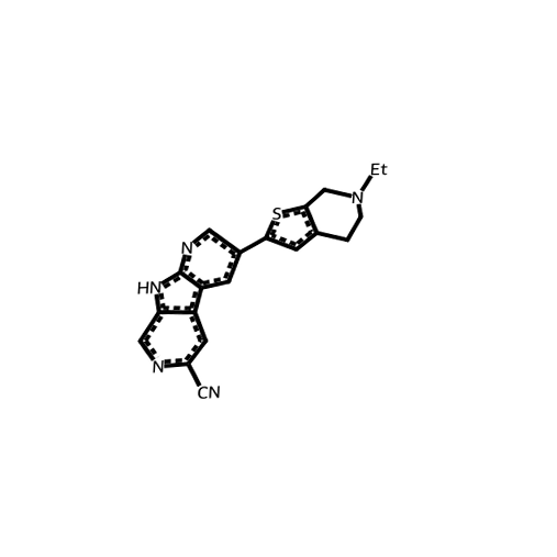 CCN1CCc2cc(-c3cnc4[nH]c5cnc(C#N)cc5c4c3)sc2C1